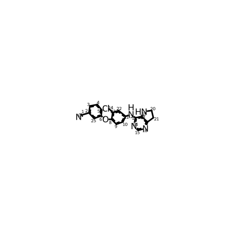 N#Cc1cccc(Oc2ccc(Nc3ncnc4c3NCC4)cc2Cl)c1